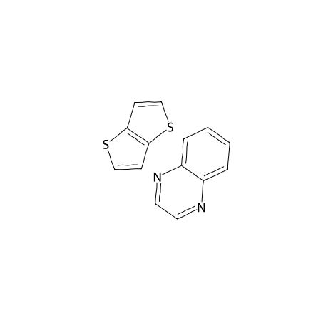 c1cc2sccc2s1.c1ccc2nccnc2c1